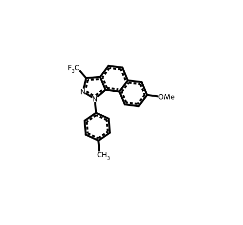 COc1ccc2c(ccc3c(C(F)(F)F)nn(-c4ccc(C)cc4)c32)c1